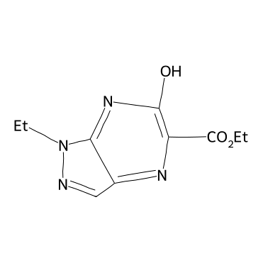 CCOC(=O)c1nc2cnn(CC)c2nc1O